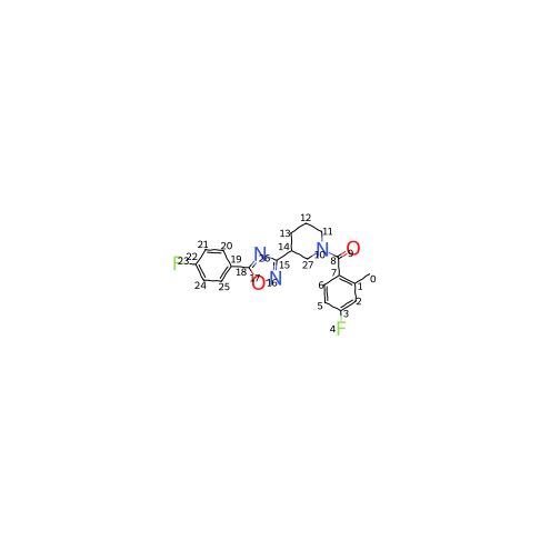 Cc1cc(F)ccc1C(=O)N1CCCC(c2noc(-c3ccc(F)cc3)n2)C1